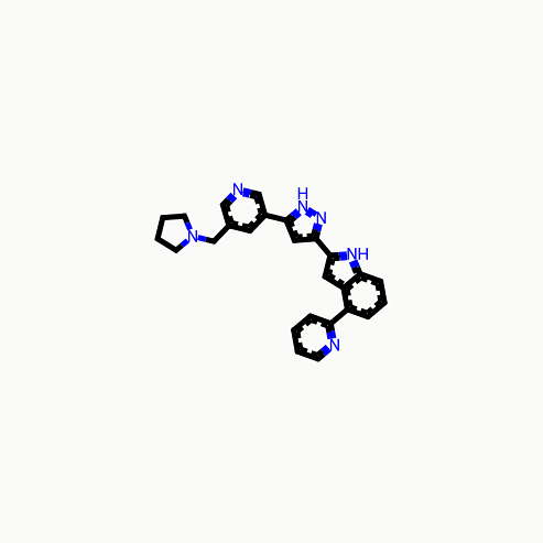 c1ccc(-c2cccc3[nH]c(-c4cc(-c5cncc(CN6CCCC6)c5)[nH]n4)cc23)nc1